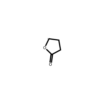 O=C1CC[C]O1